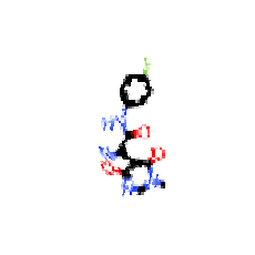 Cn1cnc2onc(C(=O)Nc3ccc(F)cc3)c2c1=O